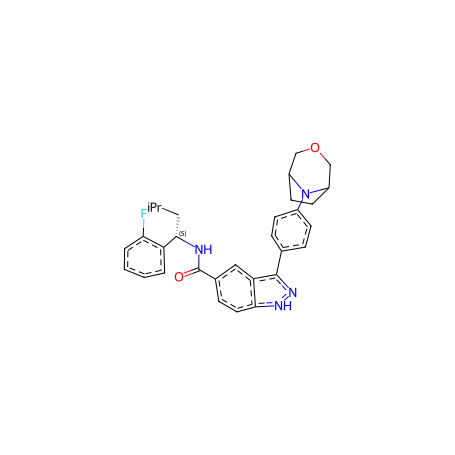 CC(C)C[C@H](NC(=O)c1ccc2[nH]nc(-c3ccc(N4C5CCC4COC5)cc3)c2c1)c1ccccc1F